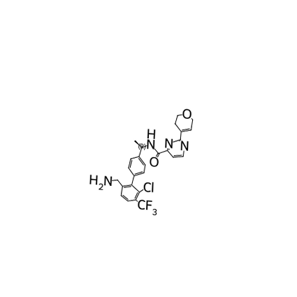 C[C@@H](NC(=O)c1ccnc(C2=CCOCC2)n1)c1ccc(-c2c(CN)ccc(C(F)(F)F)c2Cl)cc1